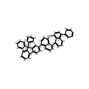 c1ccc(-c2ccc3oc4ccc(-c5ccc6c(c5)C(c5ccccc5)(c5ccccc5)c5ccccc5-6)c5cccc(c6cccc2c36)c45)cc1